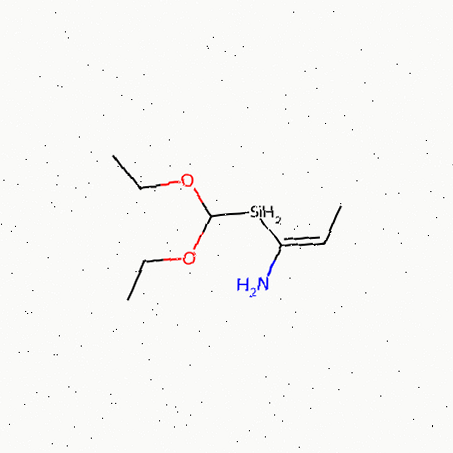 CC=C(N)[SiH2]C(OCC)OCC